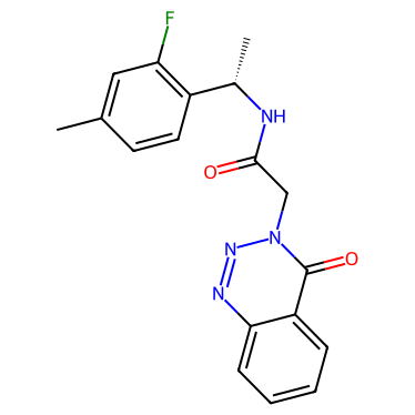 Cc1ccc([C@H](C)NC(=O)Cn2nnc3ccccc3c2=O)c(F)c1